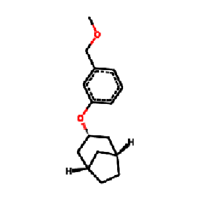 COCc1cccc(O[C@@H]2C[C@@H]3CC[C@@H](C3)C2)c1